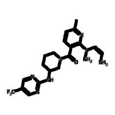 Cc1ccc(C(=O)N2CCCC(Nc3ncc(C(F)(F)F)cn3)C2)c(N(N)/C=C\N)n1